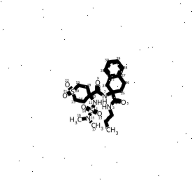 CCCNC(=O)C1(NC(=O)C2(NS(=O)(=O)N(C)C)CCS(=O)(=O)CC2)CCc2ccccc2C1